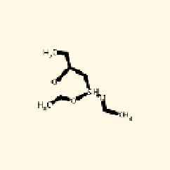 CCO[SiH](CC(Cl)CC)OCC